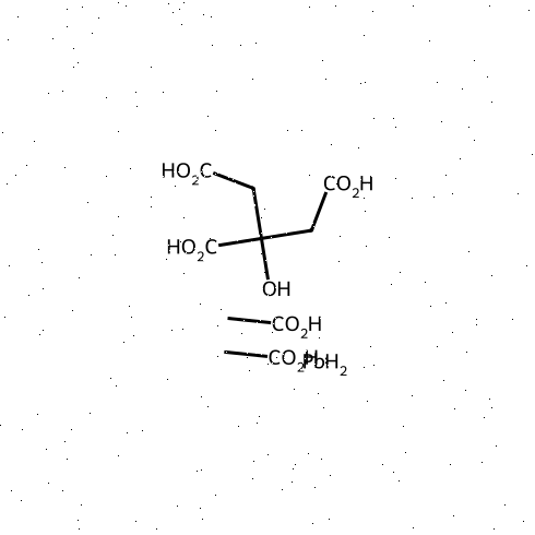 CC(=O)O.CC(=O)O.O=C(O)CC(O)(CC(=O)O)C(=O)O.[PbH2]